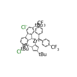 CC(C)C1C=C(C(C)(C)C)C=[C]1[Zr+2](=[C](c1ccc(C(F)(F)F)cc1)c1ccc(C(F)(F)F)cc1)[CH]1c2cc(C(C)(C)C)ccc2-c2ccc(C(C)(C)C)cc21.[Cl-].[Cl-]